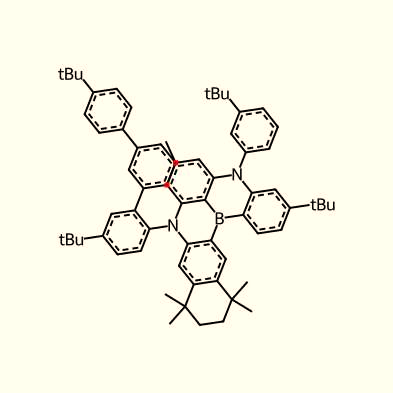 Cc1cc2c3c(c1)N(c1ccc(C(C)(C)C)cc1-c1cccc(-c4ccc(C(C)(C)C)cc4)c1)c1cc4c(cc1B3c1ccc(C(C)(C)C)cc1N2c1cccc(C(C)(C)C)c1)C(C)(C)CCC4(C)C